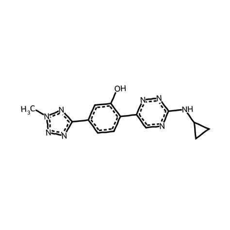 Cn1nnc(-c2ccc(-c3cnc(NC4CC4)nn3)c(O)c2)n1